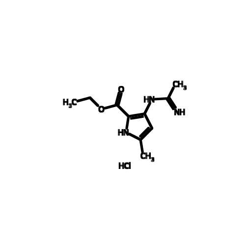 CCOC(=O)c1[nH]c(C)cc1NC(C)=N.Cl